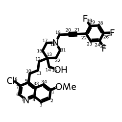 COc1ccc2ncc(Cl)c(CCCC3(CO)CCN(CC#Cc4cc(F)c(F)cc4F)CC3)c2c1